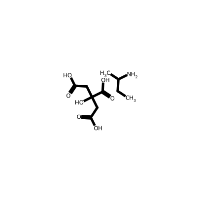 CCC(C)N.O=C(O)CC(O)(CC(=O)O)C(=O)O